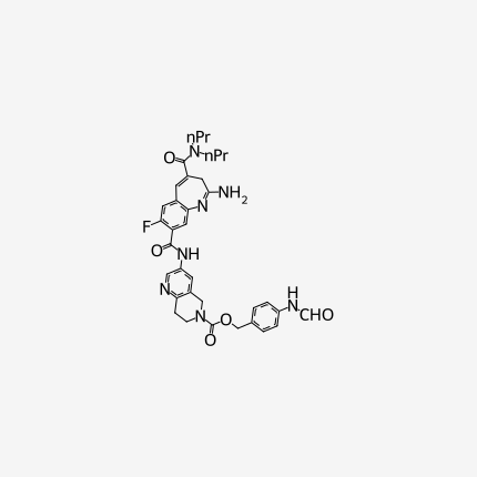 CCCN(CCC)C(=O)C1=Cc2cc(F)c(C(=O)Nc3cnc4c(c3)CN(C(=O)OCc3ccc(NC=O)cc3)CC4)cc2N=C(N)C1